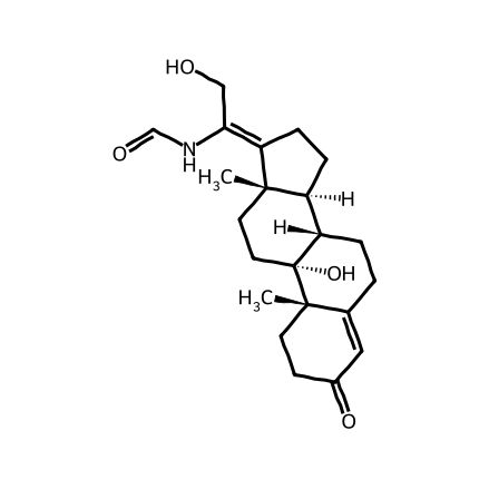 C[C@]12CCC(=O)C=C1CC[C@H]1[C@@H]3CC/C(=C(\CO)NC=O)[C@@]3(C)CC[C@@]12O